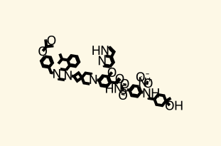 CC(C)c1ccccc1C1CN(Cc2ccc(OC3COC3)cc2)CCN1C1CC2(CCN(c3ccc(C(=O)NS(=O)(=O)c4ccc(NCC5CCC(C)(O)CC5)c([N+](=O)[O-])c4)c(Oc4cnc5[nH]ccc5c4)c3)CC2)C1